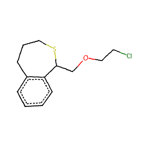 ClCCOCC1SCCCc2ccccc21